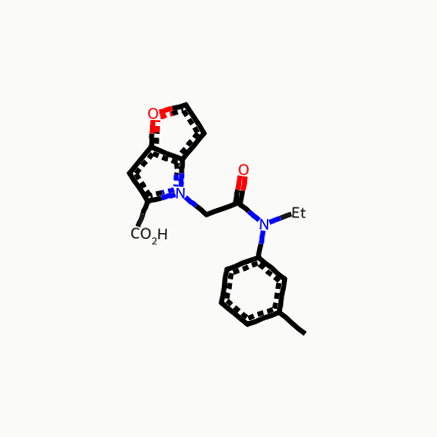 CCN(C(=O)Cn1c(C(=O)O)cc2occc21)c1cccc(C)c1